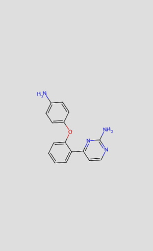 Nc1ccc(Oc2ccccc2-c2ccnc(N)n2)cc1